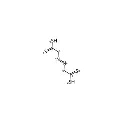 S=C(S)CN=NCC(=S)S